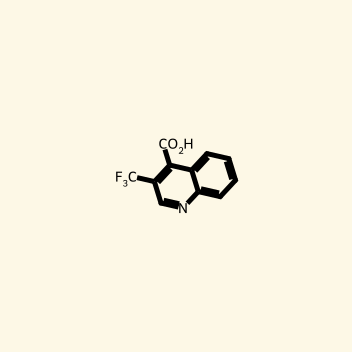 O=C(O)c1c(C(F)(F)F)cnc2ccccc12